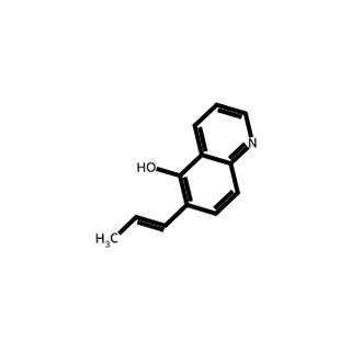 CC=Cc1ccc2ncccc2c1O